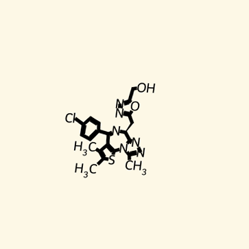 Cc1sc2c(c1C)C(c1ccc(Cl)cc1)=N[C@@H](Cc1nnc(CO)o1)c1nnc(C)n1-2